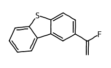 C=C(F)c1ccc2sc3ccccc3c2c1